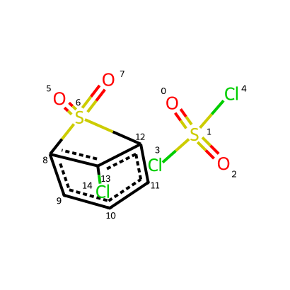 O=S(=O)(Cl)Cl.O=S1(=O)c2cccc1c2Cl